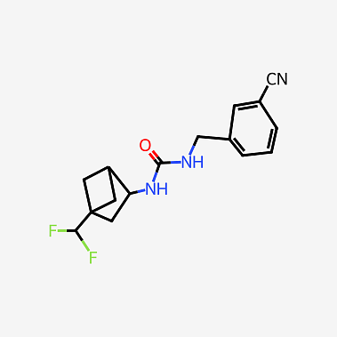 N#Cc1cccc(CNC(=O)NC2CC3(C(F)F)CC2C3)c1